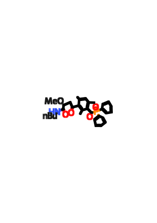 CCCCNC(=O)C(CC(=O)c1c(C)cc(C)c(C(=O)P(=O)(c2ccccc2)c2ccccc2)c1C)OC